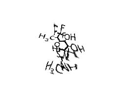 CNC1=N[C@@H]2[C@@H](O)[C@H](O)[C@@H]([C@@H](C)C(F)(F)F)O[C@@H]2S1